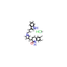 Cc1cc2c(cc1C)NC(=O)C(CC1CCN(CCCc3c[nH]c4ccccc34)C1)CC2.Cl